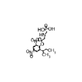 CCC(C)c1cc([N+](=O)[O-])cc([N+](=O)[O-])c1OC(=O)CNCP(=O)(O)O